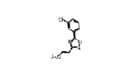 CC(=O)OCCc1noc(-c2cccc(Cl)c2)n1